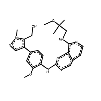 COc1cc(-c2cnn(C)c2CO)ccc1Nc1ncc2ccnc(NCC(C)(C)OC)c2n1